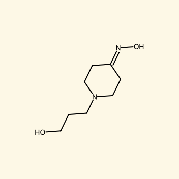 OCCCN1CCC(=NO)CC1